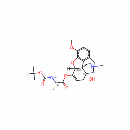 COc1ccc2c3c1O[C@H]1C(OC(=O)[C@H](C)NC(=O)OC(C)(C)C)=CC[C@]4(O)C(C2)N(C)CC[C@]314